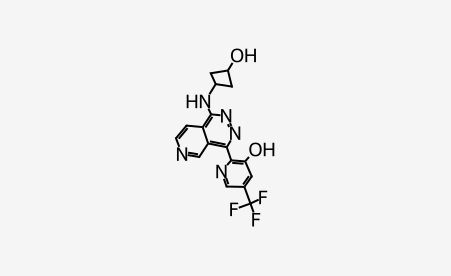 Oc1cc(C(F)(F)F)cnc1-c1nnc(NC2CC(O)C2)c2ccncc12